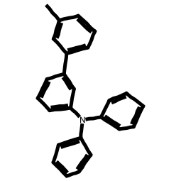 Cc1cccc(-c2cccc(N(c3ccccc3)c3ccccc3)c2)c1